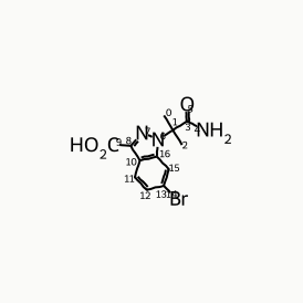 CC(C)(C(N)=O)n1nc(C(=O)O)c2ccc(Br)cc21